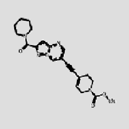 CC(C)(C)OC(=O)N1CC=C(C#Cc2cnc3cc(C(=O)N4CCCCC4)nn3c2)CC1